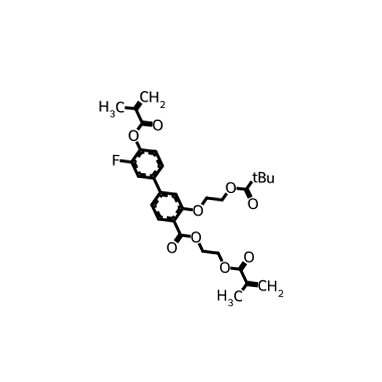 C=C(C)C(=O)OCCOC(=O)c1ccc(-c2ccc(OC(=O)C(=C)C)c(F)c2)cc1OCCOC(=O)C(C)(C)C